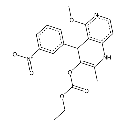 CCOC(=O)OC1=C(C)Nc2ccnc(OC)c2C1c1cccc([N+](=O)[O-])c1